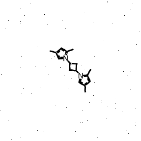 Cc1cc(C)n(C2CC(n3cc(C)cc3C)C2)c1